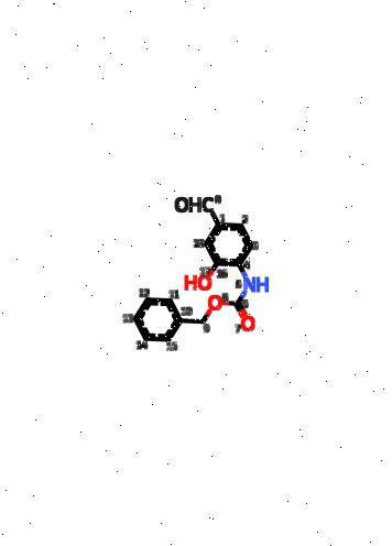 O=Cc1ccc(NC(=O)OCc2ccccc2)c(O)c1